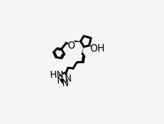 O[C@H]1CC[C@H](COCc2ccccc2)[C@H]1C/C=C\CCCc1nnn[nH]1